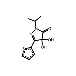 CC(C)N1N=C(c2cccs2)C(O)(O)C1=O